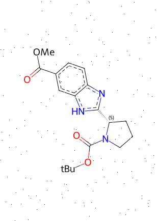 COC(=O)c1ccc2nc([C@@H]3CCCN3C(=O)OC(C)(C)C)[nH]c2c1